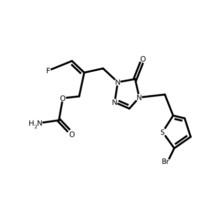 NC(=O)OC/C(=C\F)Cn1ncn(Cc2ccc(Br)s2)c1=O